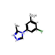 CC(C)(C)c1nncn1-c1cc(Br)cc(C(=O)O)c1